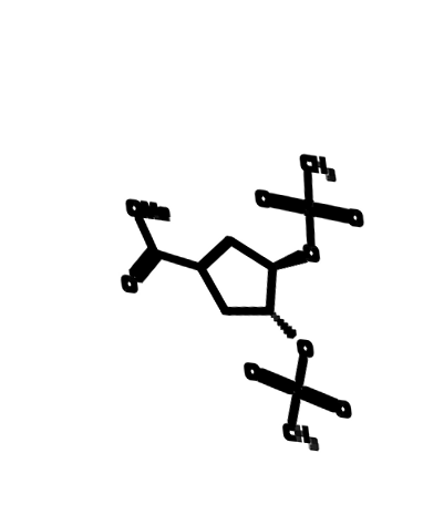 COC(=O)C1C[C@@H](OS(C)(=O)=O)[C@H](OS(C)(=O)=O)C1